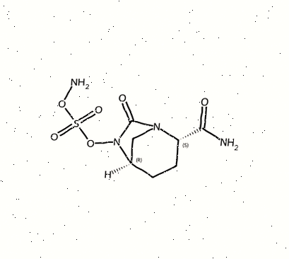 NOS(=O)(=O)ON1C(=O)N2C[C@H]1CC[C@H]2C(N)=O